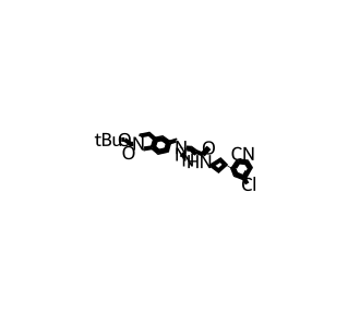 CC(C)(C)OC(=O)N1CCc2cc(Cn3cc(C(=O)N[C@H]4C[C@@H](c5cc(Cl)ccc5C#N)C4)nn3)ccc2C1